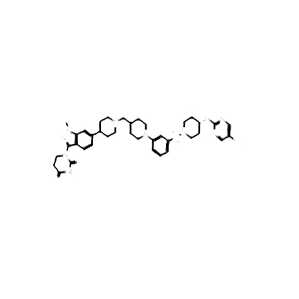 Cn1nc(N2CCC(=O)NC2=O)c2ccc(C3CCN(CC4CCN(c5cccc(S(=O)(=O)N6CC[C@H](Nc7ncc(C(F)(F)F)cn7)[C@H](F)C6)c5)CC4)CC3)cc21